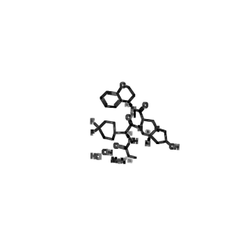 CN[C@@H](C)C(=O)N[C@H](C(=O)N1C[C@H]2CC(O)CN2CC1C(=O)N[C@@H]1CCOc2ccccc21)C1CCC(F)(F)CC1.Cl.Cl